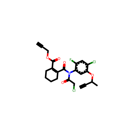 C#CCOC(=O)C1=C(C(=O)N(C(=O)CCl)c2cc(OC(C)C#C)c(Cl)cc2F)CCCC1